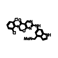 CNCc1cc(Nc2ncc3c(n2)OCN(c2c(Cl)cccc2Cl)C3=O)cc2[nH]ccc12